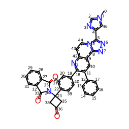 Cn1cnc(-c2nnc3c4cc(-c5ccccc5)c(-c5ccc(C6(N7C(=O)c8ccccc8C7=O)CC(=O)C6)cc5)nc4ccn23)c1